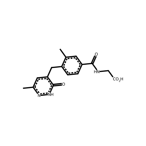 Cc1cc(Cc2ccc(C(=O)NCC(=O)O)cc2C)c(=O)[nH]n1